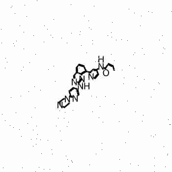 C/C=C\C(=O)Nc1ccnc(-c2cccc3cnc(Nc4ccc(N5CCN(C)CC5)nc4)nc23)c1